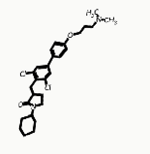 CN(C)CCCOc1ccc(-c2cc(Cl)c(CC3CCN(C4CCCCC4)C3=O)c(Cl)c2)cc1